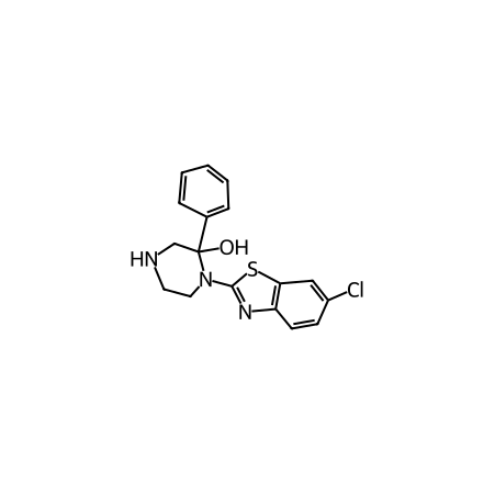 OC1(c2ccccc2)CNCCN1c1nc2ccc(Cl)cc2s1